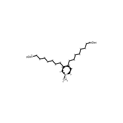 CCCCCCCCCCCCCCCCCc1cc[n+](C)cc1CCCCCCCCCCCCCCCCC